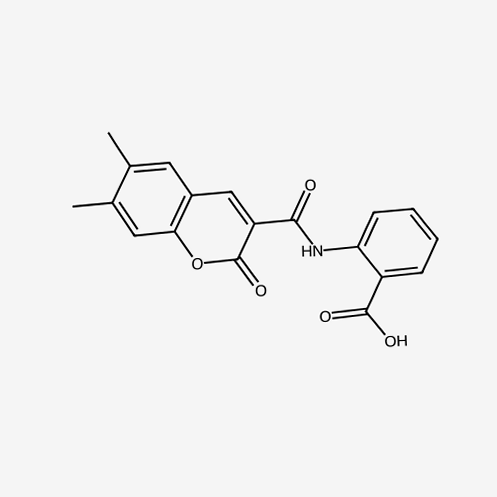 Cc1cc2cc(C(=O)Nc3ccccc3C(=O)O)c(=O)oc2cc1C